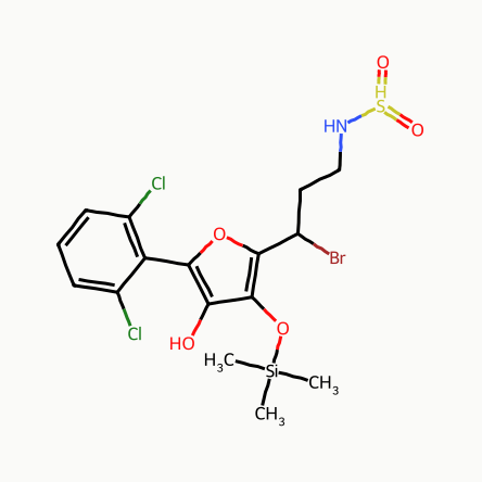 C[Si](C)(C)Oc1c(C(Br)CCN[SH](=O)=O)oc(-c2c(Cl)cccc2Cl)c1O